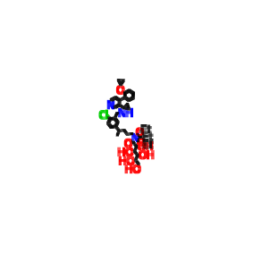 CCOC(CC)(OCC)N(CCCC(C)c1ccc(Cl)c(CNC2(c3cnccc3-c3ccccc3OC3CC3)CC2)c1)C(=O)[C@@H](O)[C@@H](O)[C@H](O)[C@@H](O)CO